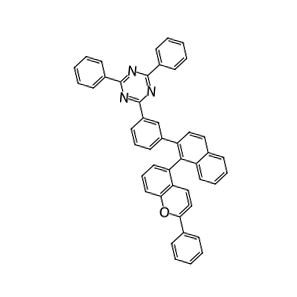 C1=Cc2c(cccc2-c2c(-c3cccc(-c4nc(-c5ccccc5)nc(-c5ccccc5)n4)c3)ccc3ccccc23)OC=1c1ccccc1